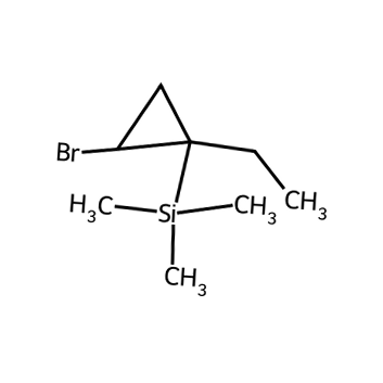 CCC1([Si](C)(C)C)CC1Br